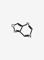 c1ncc2nocc2n1